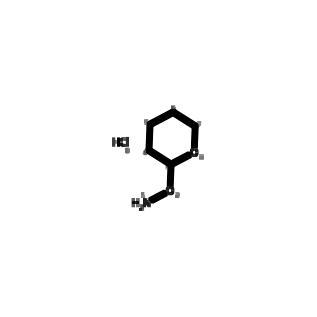 Cl.NOC1CCCCO1